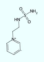 NS(=O)(=O)NCC[n+]1c[c]ccc1